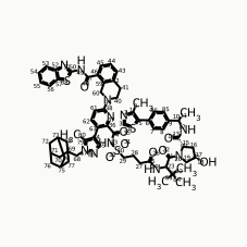 Cc1ncsc1-c1ccc(C(C)NC(=O)[C@@H]2C[C@@H](O)CN2C(=O)C(NC(=O)CCCS(=O)(=O)NC(=O)c2nc(N3CCc4cccc(C(=O)Nc5nc6ccccc6s5)c4C3)ccc2-c2cnn(CC34CC5CC(CC(C5)C3)C4)c2C)C(C)(C)C)cc1